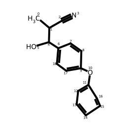 CC(C#N)C(O)c1ccc(Oc2ccccc2)cc1